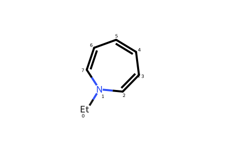 CCN1C=[C]C=CC=C1